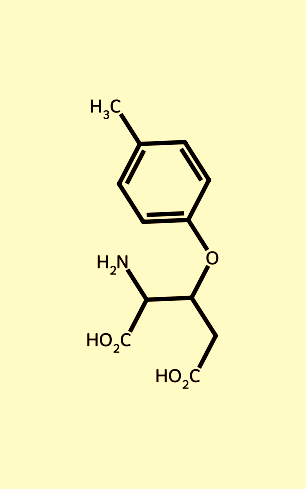 Cc1ccc(OC(CC(=O)O)C(N)C(=O)O)cc1